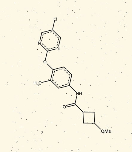 COC1CC(C(=O)Nc2ccc(Oc3ncc(Cl)cn3)c(C)c2)C1